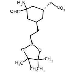 CC1(C)OB(CC[C@@H]2C[C@@H](C[N+](=O)[O-])CC(N)(C=O)C2)OC1(C)C